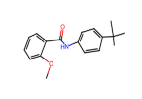 COc1ccccc1C(=O)Nc1ccc(C(C)(C)C)cc1